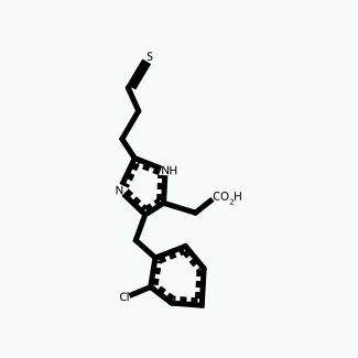 O=C(O)Cc1[nH]c(CCC=S)nc1Cc1ccccc1Cl